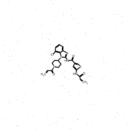 C=CC(=O)Nc1cc(C(=O)Nc2nc3cccc(Cl)c3n2C2CCN(C(=O)C=C)CC2)cs1